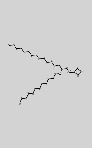 CCCCCCCCCCCCOCC(CNC1CCC1)OCCCCCCCCCCCC